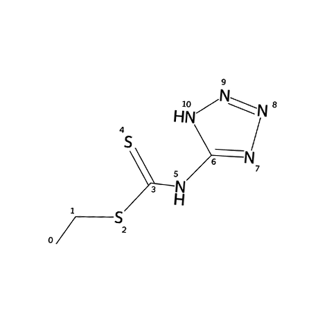 CCSC(=S)Nc1nnn[nH]1